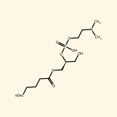 CCCCCCCCCCCCCC(=O)OC[C@H](CO)OP(=O)(O)OCCN(C)C